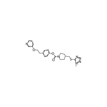 Cn1nnnc1SCC1CCN(C(=O)Oc2ccc(CCOc3cccnc3)cc2)CC1